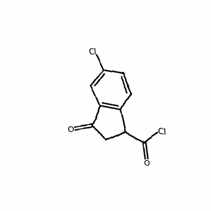 O=C1CC(C(=O)Cl)c2ccc(Cl)cc21